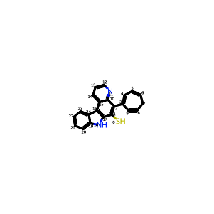 Sc1c(C2=CC=CCC#C2)c2ncccc2c2c1[nH]c1ccccc12